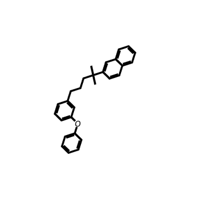 CC(C)(CCCc1cccc(Oc2ccccc2)c1)c1ccc2ccccc2c1